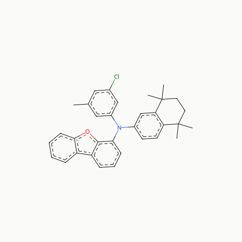 Cc1cc(Cl)cc(N(c2ccc3c(c2)C(C)(C)CCC3(C)C)c2cccc3c2oc2ccccc23)c1